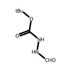 CC(C)(C)OC(=O)NNC=O